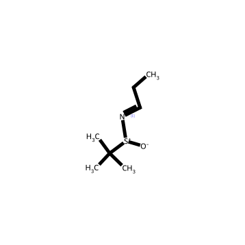 CC/C=N/[S+]([O-])C(C)(C)C